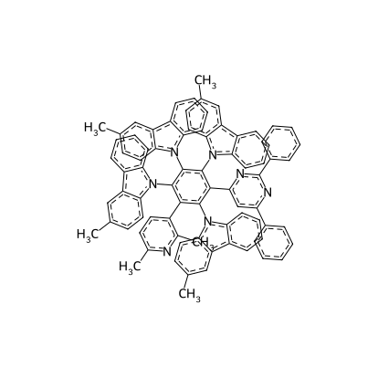 Cc1ccc2c(c1)c1ccccc1n2-c1c(-c2cc(-c3ccccc3)nc(-c3ccccc3)n2)c(-n2c3ccccc3c3cc(C)ccc32)c(-n2c3ccccc3c3cc(C)ccc32)c(-n2c3ccccc3c3cc(C)ccc32)c1-c1ccc(C)nc1C